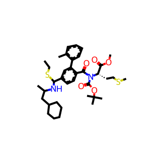 CCSC(NC(C)CC1CCCCC1)c1ccc(C(=O)N(C(=O)OC(C)(C)C)[C@@H](CCSC)C(=O)OC)c(-c2ccccc2C)c1